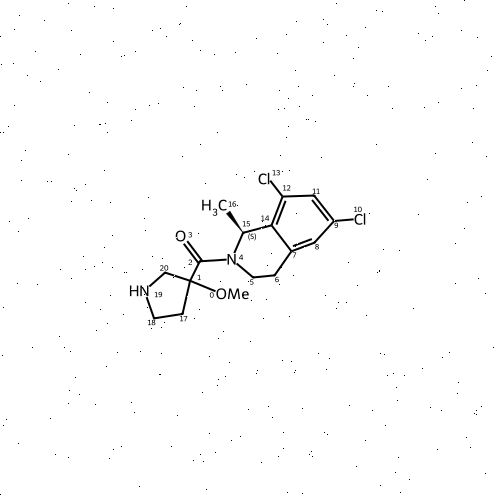 COC1(C(=O)N2CCc3cc(Cl)cc(Cl)c3[C@@H]2C)CCNC1